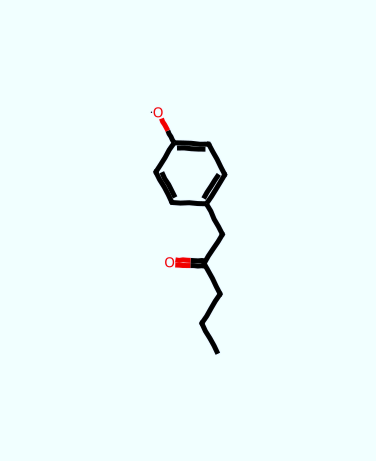 CCCC(=O)Cc1ccc([O])cc1